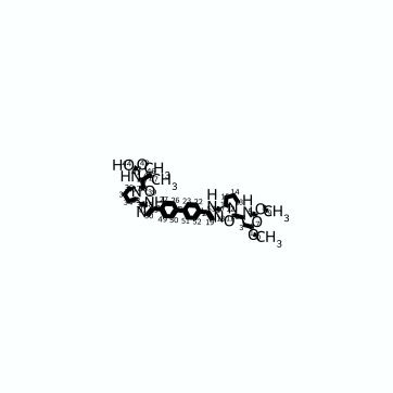 COCC[C@H](NC(=O)OC)C(=O)N1CCC[C@H]1c1ncc(-c2ccc(-c3ccc(-c4cnc([C@@H]5CCCN5C(=O)[C@@H](NC(=O)O)C(C)C)[nH]4)cc3)cc2)[nH]1